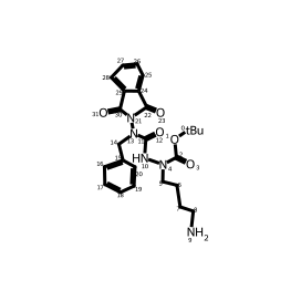 CC(C)(C)OC(=O)N(CCCCN)NC(=O)N(Cc1ccccc1)N1C(=O)c2ccccc2C1=O